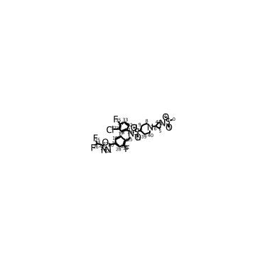 CS(=O)(=O)N1CC(N2CCC(S(=O)(=O)N(Cc3ccc(-c4nnc(C(F)F)o4)cc3F)c3ccc(F)c(Cl)c3)CC2)C1